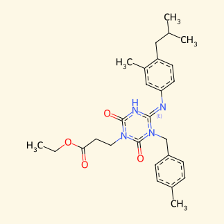 CCOC(=O)CCn1c(=O)[nH]/c(=N\c2ccc(CC(C)C)c(C)c2)n(Cc2ccc(C)cc2)c1=O